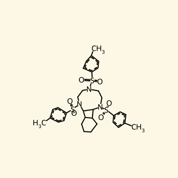 Cc1ccc(S(=O)(=O)N2CCN(S(=O)(=O)c3ccc(C)cc3)C3C4CCCCC4C3N(S(=O)(=O)c3ccc(C)cc3)CC2)cc1